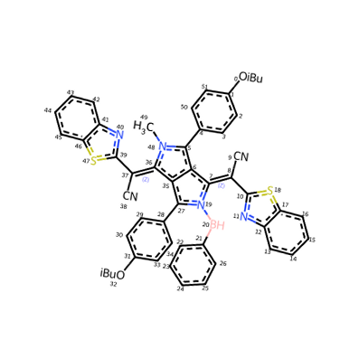 CC(C)COc1ccc(-c2c3/c(=C(\C#N)c4nc5ccccc5s4)n(Bc4ccccc4)c(-c4ccc(OCC(C)C)cc4)c3/c(=C(\C#N)c3nc4ccccc4s3)n2C)cc1